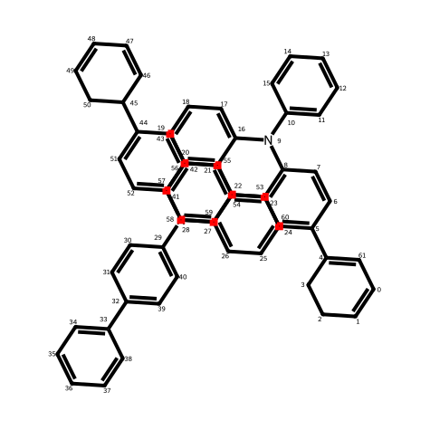 C1=CCCC(c2ccc(N(c3ccccc3)c3ccccc3-c3ccccc3N(c3ccc(-c4ccccc4)cc3)c3ccc(C4C=CC=CC4)cc3)c(-c3ccccc3)c2)=C1